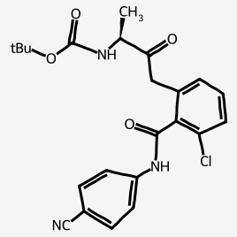 C[C@H](NC(=O)OC(C)(C)C)C(=O)Cc1cccc(Cl)c1C(=O)Nc1ccc(C#N)cc1